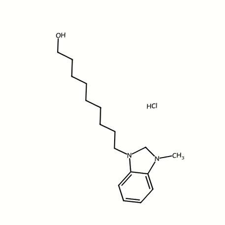 CN1CN(CCCCCCCCCO)c2ccccc21.Cl